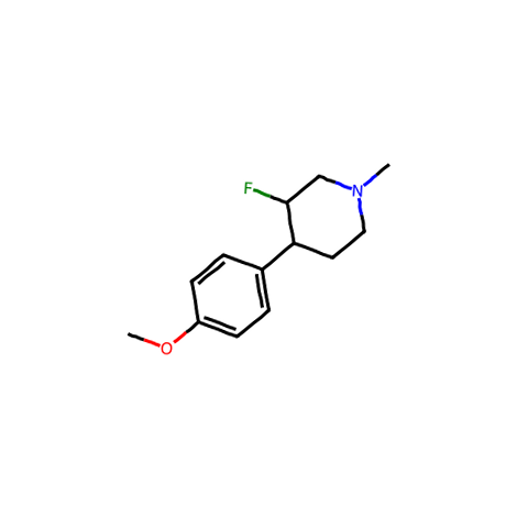 COc1ccc(C2CCN(C)CC2F)cc1